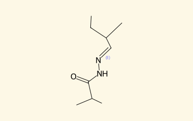 CCC(C)/C=N/NC(=O)C(C)C